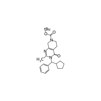 Cc1nc2c(c(=O)n1C(c1ccccc1)C1CCCC1)CCN(C(=O)OC(C)(C)C)C2